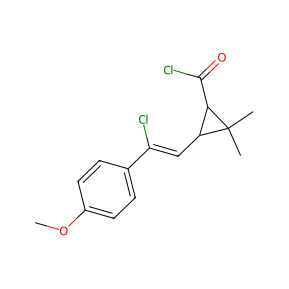 COc1ccc(C(Cl)=CC2C(C(=O)Cl)C2(C)C)cc1